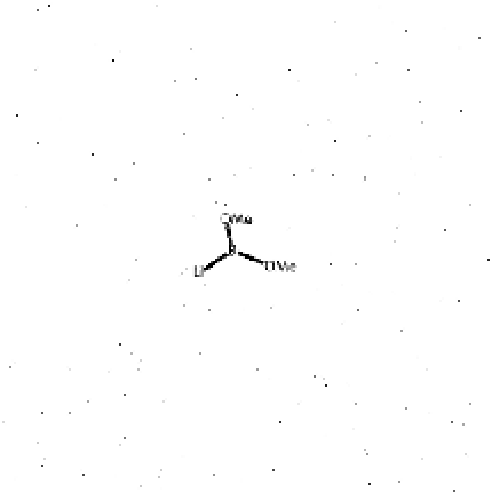 [Li][B](OC)OC